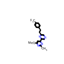 COc1cc(-c2cncc(CCc3ccc(C(F)(F)F)cc3)n2)nc(C)n1